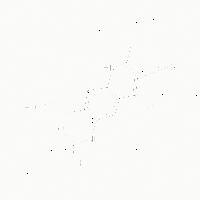 CCOc1cc2[nH]c(CC)c(C#N)c(=O)c2cc1NC(C)=O